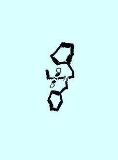 C=CS(=O)(=O)N(Cc1ccccc1)Cc1ccccc1